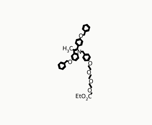 CCOC(=O)COCCOCCOCCOc1ccc(Cn2c(-c3ccc(OCc4ccccc4)cc3)c(C)c3cc(OCc4ccccc4)ccc32)cc1